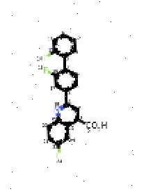 O=C(O)c1cc(-c2ccc(-c3ccccc3F)c(F)c2)nc2ccc(F)cc12